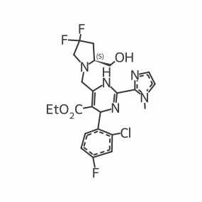 CCOC(=O)C1=C(CN2CC(F)(F)C[C@H]2CO)NC(c2nccn2C)=NC1c1ccc(F)cc1Cl